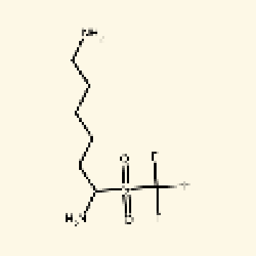 NCCCCCC(N)S(=O)(=O)C(F)(F)F